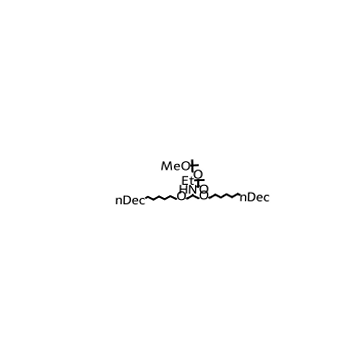 CCCCCCCCCCCCCCCCOCC(COCCCCCCCCCCCCCCCC)NC(=O)C(C)(CC)OCC(C)(C)OC